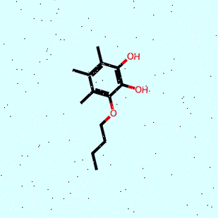 CCCCOc1c(C)c(C)c(C)c(O)c1O